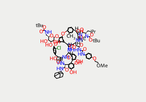 COCCOc1ccc(NC(=O)NC(=O)C[C@@H]2NC(=O)[C@H](NC(=O)[C@@H](CC(C)C)N(C)C(=O)OC(C)(C)C)[C@H](O)c3ccc(c(C)c3)Oc3cc4cc(c3O[C@@H]3O[C@H](CNC(=O)OC(C)(C)C)[C@@H](O)[C@H](O)[C@H]3O)Oc3ccc(cc3Cl)[C@@H](O)[C@@H]3NC(=O)[C@H](NC(=O)[C@@H]4NC2=O)c2ccc(O)c(c2)-c2c(O)cc(O)cc2[C@@H](C(=O)NC2C4CC5CC(C4)CC2C5)NC3=O)cc1